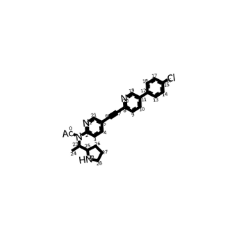 CC(=O)N(c1ccc(C#Cc2ccc(-c3ccc(Cl)cc3)cn2)cn1)C(C)C1CCCN1